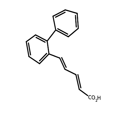 O=C(O)/C=C/C=C/c1ccccc1-c1ccccc1